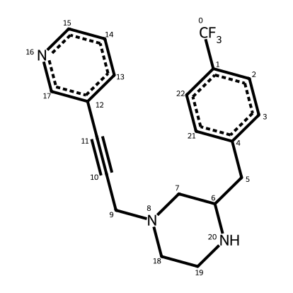 FC(F)(F)c1ccc(CC2CN(CC#Cc3cccnc3)CCN2)cc1